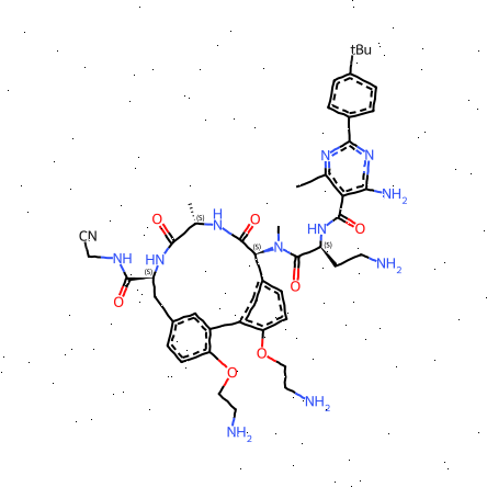 Cc1nc(-c2ccc(C(C)(C)C)cc2)nc(N)c1C(=O)N[C@@H](CCN)C(=O)N(C)[C@@H]1C(=O)N[C@@H](C)C(=O)N[C@H](C(=O)NCC#N)Cc2ccc(OCCN)c(c2)-c2cc1ccc2OCCN